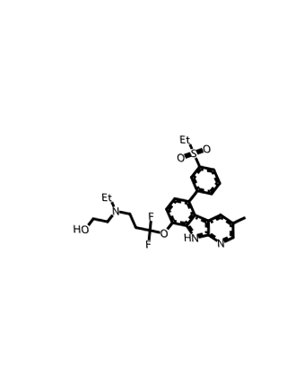 CCN(CCO)CCC(F)(F)Oc1ccc(-c2cccc(S(=O)(=O)CC)c2)c2c1[nH]c1ncc(C)cc12